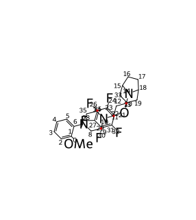 COc1ccccc1N1CCN(CCCN2C3CCC2CC(Oc2c(F)c(F)c(F)c(F)c2F)C3)CC1